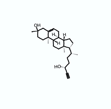 C#C[C@H](O)CC[C@@H](C)[C@H]1CC[C@H]2[C@@H]3CC=C4C[C@@](C)(O)CC[C@]4(C)[C@H]3CC[C@]12C